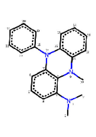 CN(C)c1cccc2c1N(C)c1ccccc1N2c1ccccc1